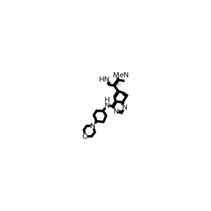 CN/C(C)=C(\C=N)c1ccc2ncnc(NC3CCC(N4CCOCC4)CC3)c2c1